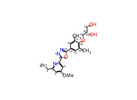 COc1cc(CC(C)C)nc(-c2nnc(-c3cc(C)c(OC[C@@H](O)CO)c(C)c3)o2)c1